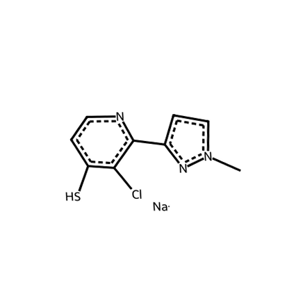 Cn1ccc(-c2nccc(S)c2Cl)n1.[Na]